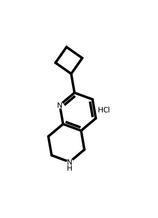 Cl.c1cc2c(nc1C1CCC1)CCNC2